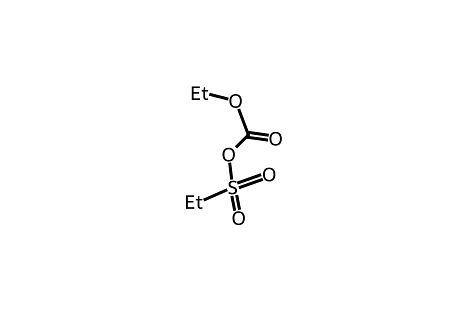 CCOC(=O)OS(=O)(=O)CC